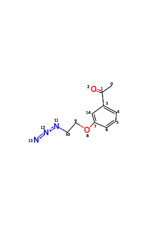 CC(=O)c1cccc(OCCN=[N+]=[N-])c1